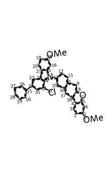 COc1ccc2c(c1)oc1cc3ccc(-n4c5cc(OC)ccc5c5cc(-c6ccccc6)cc(Cl)c54)cc3cc12